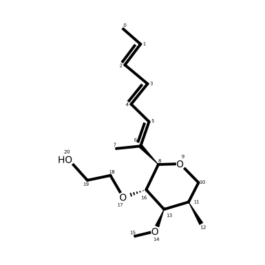 C/C=C/C=C/C=C(\C)[C@H]1OC[C@@H](C)[C@@H](OC)[C@@H]1OCCO